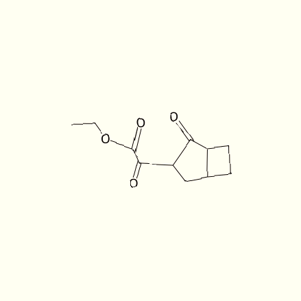 CCOC(=O)C(=O)C1CC2CCC2C1=O